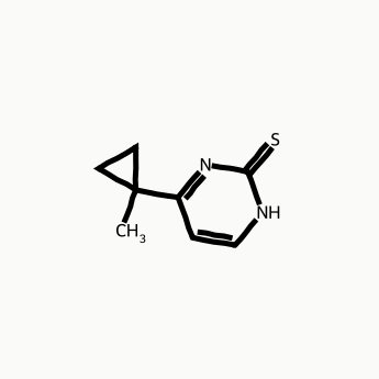 CC1(c2cc[nH]c(=S)n2)CC1